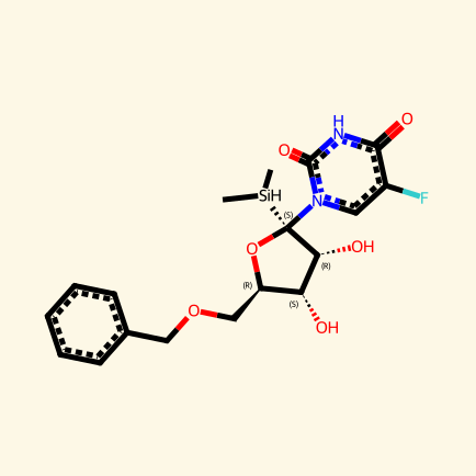 C[SiH](C)[C@@]1(n2cc(F)c(=O)[nH]c2=O)O[C@H](COCc2ccccc2)[C@@H](O)[C@H]1O